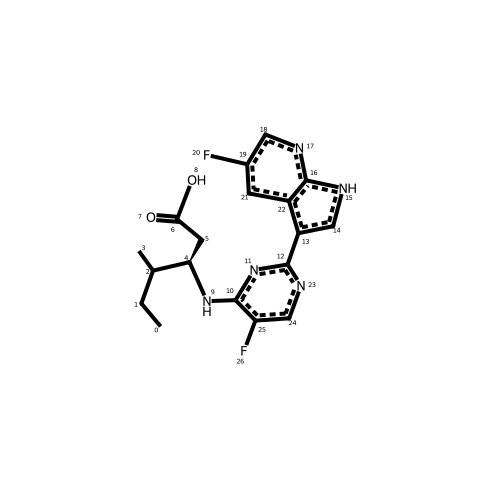 CCC(C)[C@@H](CC(=O)O)Nc1nc(-c2c[nH]c3ncc(F)cc23)ncc1F